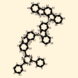 c1ccc(-c2nc(-c3ccccc3)nc(-c3ccc4sc5ccc(-n6c7ccccc7c7cc(-n8c9ccccc9c9ccc%10c%11ccccc%11sc%10c98)ccc76)cc5c4c3)n2)cc1